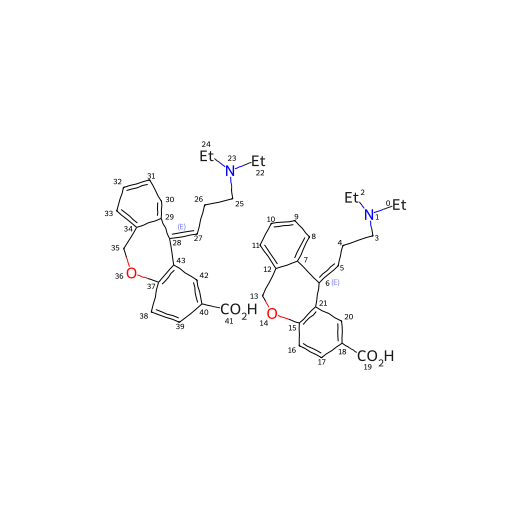 CCN(CC)CC/C=C1\c2ccccc2COc2ccc(C(=O)O)cc21.CCN(CC)CC/C=C1\c2ccccc2COc2ccc(C(=O)O)cc21